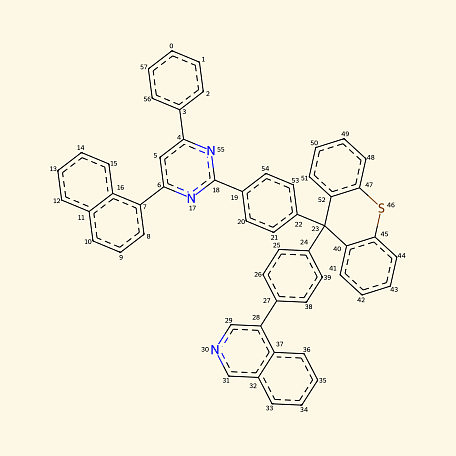 c1ccc(-c2cc(-c3cccc4ccccc34)nc(-c3ccc(C4(c5ccc(-c6cncc7ccccc67)cc5)c5ccccc5Sc5ccccc54)cc3)n2)cc1